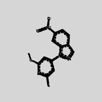 COc1cc(-n2ncc3ccc([N+](=O)[O-])cc32)cc(C)n1